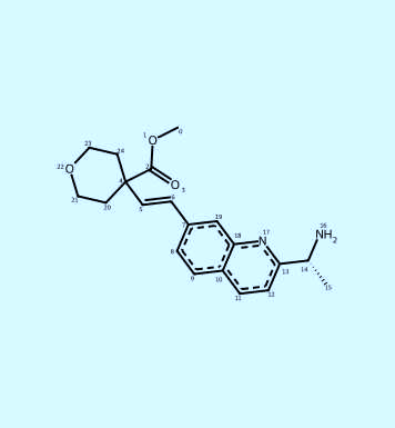 COC(=O)C1(/C=C/c2ccc3ccc([C@@H](C)N)nc3c2)CCOCC1